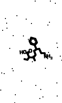 CCC(C(=O)O)C(C)CCC(CCCN)c1ccccc1